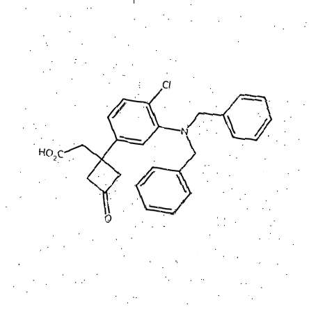 O=C(O)CC1(c2ccc(Cl)c(N(Cc3ccccc3)Cc3ccccc3)c2)CC(=O)C1